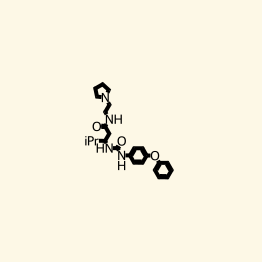 CC(C)C(CC(=O)NCCN1CCCC1)NC(=O)Nc1ccc(Oc2ccccc2)cc1